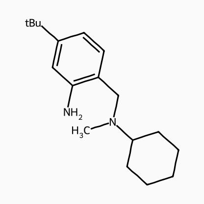 CN(Cc1ccc(C(C)(C)C)cc1N)C1CCCCC1